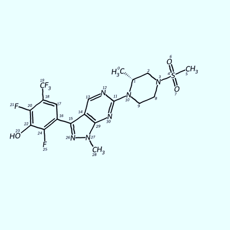 C[C@@H]1CN(S(C)(=O)=O)CCN1c1ncc2c(-c3cc(C(F)(F)F)c(F)c(O)c3F)nn(C)c2n1